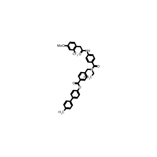 COc1ccc(CC(=O)Nc2ccc(C(=O)N(CC(=O)O)Cc3ccc(C(=O)Oc4ccc(-c5ccc(C)cc5)cc4)cc3)cc2)c(C(F)(F)F)c1